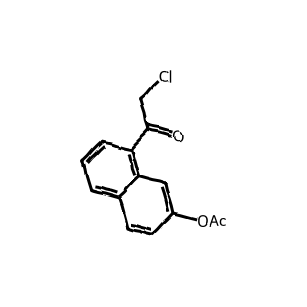 CC(=O)Oc1ccc2cccc(C(=O)CCl)c2c1